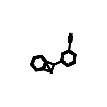 N#Cc1cccc(C2c3c4cccc3N42)c1